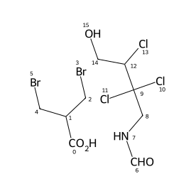 O=C(O)C(CBr)CBr.O=CNCC(Cl)(Cl)C(Cl)CO